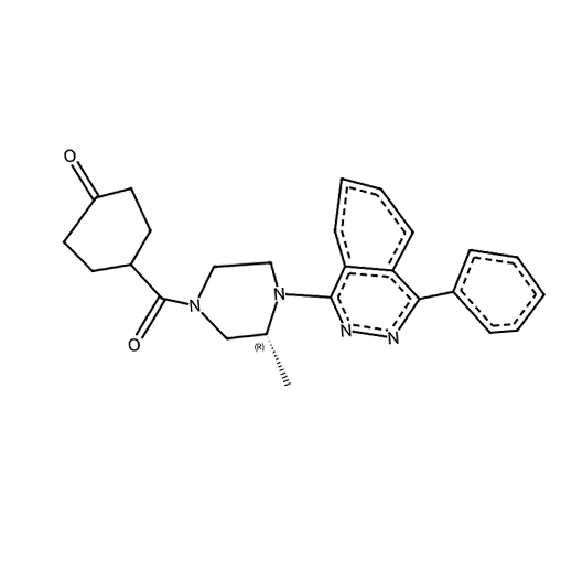 C[C@@H]1CN(C(=O)C2CCC(=O)CC2)CCN1c1nnc(-c2ccccc2)c2ccccc12